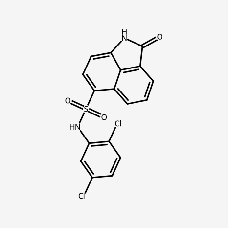 O=C1Nc2ccc(S(=O)(=O)Nc3cc(Cl)ccc3Cl)c3cccc1c23